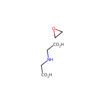 C1CO1.O=C(O)CNCC(=O)O